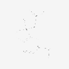 COc1ccc2c(c1)C(N)(CC(=O)O)CC2